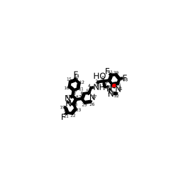 O[C@@](CNCc1cc(-c2c(-c3ccc(F)cc3)nn3cc(F)ccc23)ccn1)(Cn1cncn1)c1ccc(F)cc1F